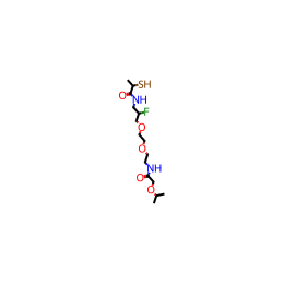 CC(C)OCC(=O)NCCOCCOCC(F)CNC(=O)C(C)S